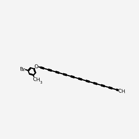 C#CC#CC#CC#CC#CC#CC#CC#CC#CC#CC#COc1cc(C)cc(Br)c1